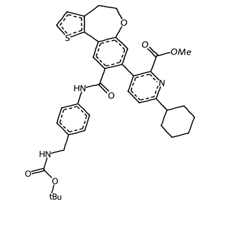 COC(=O)c1nc(C2CCCCC2)ccc1-c1cc2c(cc1C(=O)Nc1ccc(CNC(=O)OC(C)(C)C)cc1)-c1sccc1CCO2